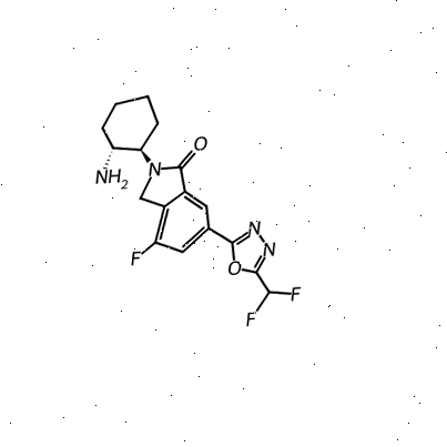 N[C@@H]1CCCC[C@H]1N1Cc2c(F)cc(-c3nnc(C(F)F)o3)cc2C1=O